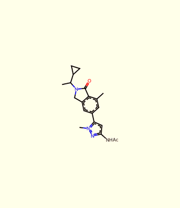 CC(=O)Nc1cc(-c2cc(C)c3c(c2)CN(C(C)C2CC2)C3=O)n(C)n1